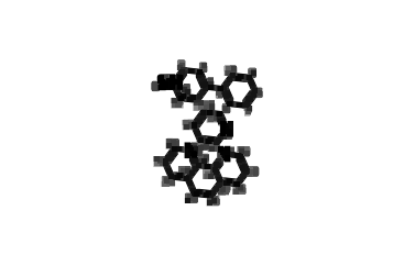 [SiH4].c1ccc(-c2ccccc2)cc1.c1ccncc1.c1cnc2c(c1)ccc1cccnc12